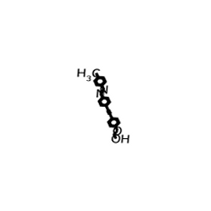 Cc1ccc(N=Nc2ccc(C#Cc3ccc(OCO)cc3)cc2)cc1